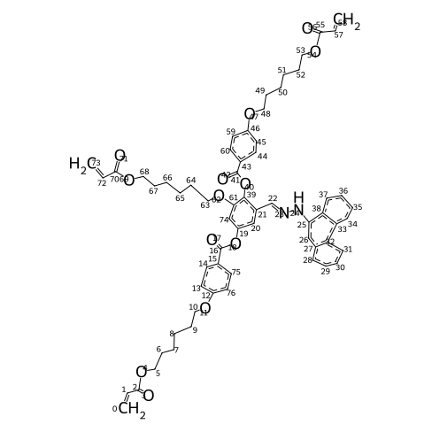 C=CC(=O)OCCCCCCOc1ccc(C(=O)Oc2cc(/C=N/Nc3cc4ccccc4c4ccccc34)c(OC(=O)c3ccc(OCCCCCCOC(=O)C=C)cc3)c(OCCCCCCOC(=O)C=C)c2)cc1